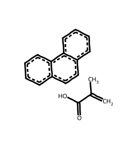 C=C(C)C(=O)O.c1ccc2c(c1)ccc1ccccc12